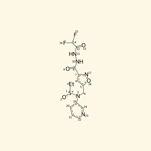 CC[S+]([O-])N(Cc1cc(C(=O)NNC(=O)C(F)F)no1)c1cccnc1